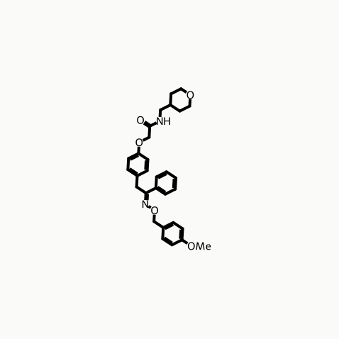 COc1ccc(CON=C(Cc2ccc(OCC(=O)NCC3CCOCC3)cc2)c2ccccc2)cc1